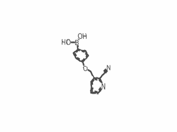 N#Cc1ncccc1COc1ccc(B(O)O)cc1